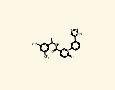 CC(NC(=O)c1ccc(=O)n(-c2cccc(-c3cnn[nH]3)c2)c1)c1cc(N)cc(C(F)(F)F)c1